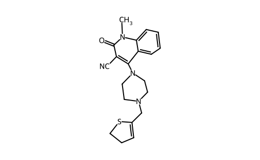 Cn1c(=O)c(C#N)c(N2CCN(CC3=CCCS3)CC2)c2ccccc21